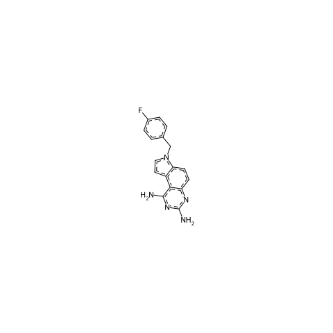 Nc1nc(N)c2c(ccc3c2ccn3Cc2ccc(F)cc2)n1